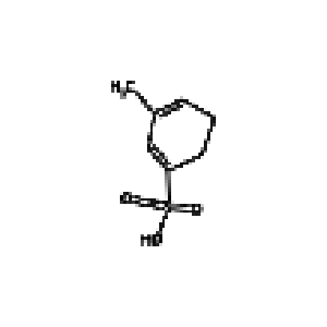 CC1=CCCC(S(=O)(=O)O)=C1